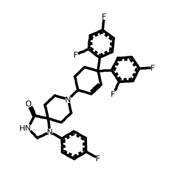 O=C1NCN(c2ccc(F)cc2)C12CCN(C1C=CC(c3ccc(F)cc3F)(c3ccc(F)cc3F)CC1)CC2